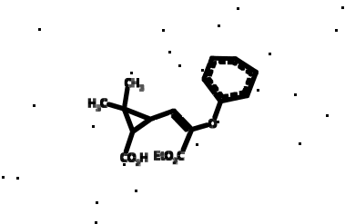 CCOC(=O)C(=CC1C(C(=O)O)C1(C)C)Oc1ccccc1